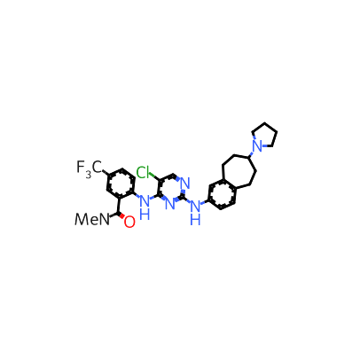 CNC(=O)c1cc(C(F)(F)F)ccc1Nc1nc(Nc2ccc3c(c2)CCC(N2CCCC2)CC3)ncc1Cl